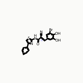 N#C/C(=C\c1cc(O)c(O)c(Br)c1)C(=O)Nc1nc(-c2ccccc2)cs1